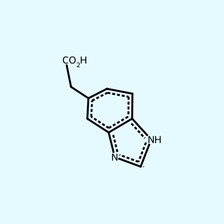 O=C(O)Cc1ccc2[nH][c]nc2c1